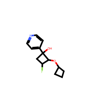 OC1(c2ccncc2)CC(F)C1OC1CCC1